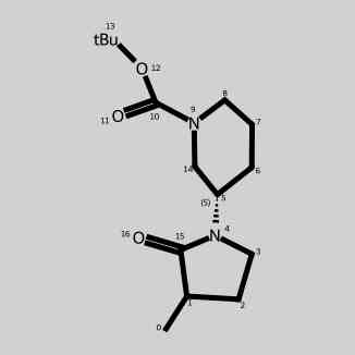 CC1CCN([C@H]2CCCN(C(=O)OC(C)(C)C)C2)C1=O